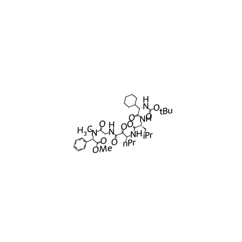 CCCC(NC(=O)[C@H](CC(C)C)NC(=O)[C@@H](NC(=O)OC(C)(C)C)C1CCCCC1)C(=O)C(=O)NCC(=O)N(C)C(C(=O)OC)c1ccccc1